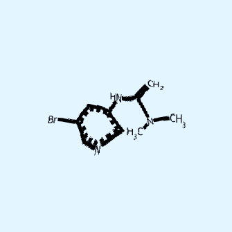 C=C(Nc1cncc(Br)c1)N(C)C